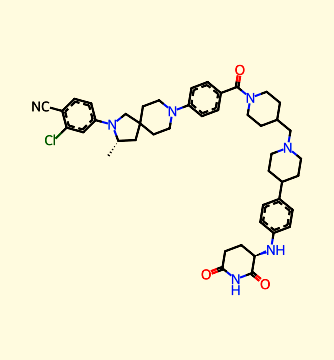 C[C@H]1CC2(CCN(c3ccc(C(=O)N4CCC(CN5CCC(c6ccc(N[C@@H]7CCC(=O)NC7=O)cc6)CC5)CC4)cc3)CC2)CN1c1ccc(C#N)c(Cl)c1